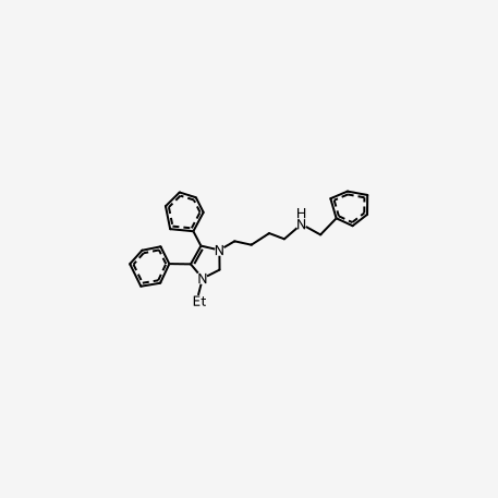 CCN1CN(CCCCNCc2ccccc2)C(c2ccccc2)=C1c1ccccc1